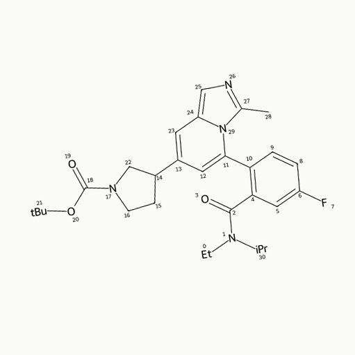 CCN(C(=O)c1cc(F)ccc1-c1cc(C2CCN(C(=O)OC(C)(C)C)C2)cc2cnc(C)n12)C(C)C